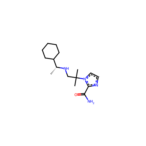 C[C@@H](NCC(C)(C)n1c[c]nc1C(N)=O)C1CCCCC1